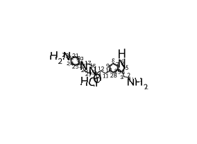 Cl.NCCc1c[nH]c2ccc(CCC(=O)N3CCN(c4ccc(N)cc4)CC3)cc12